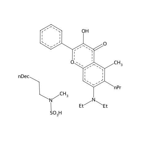 CCCCCCCCCCCCN(C)S(=O)(=O)O.CCCc1c(N(CC)CC)cc2oc(-c3ccccc3)c(O)c(=O)c2c1C